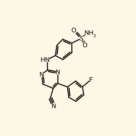 N#Cc1cnc(Nc2ccc(S(N)(=O)=O)cc2)nc1-c1cccc(F)c1